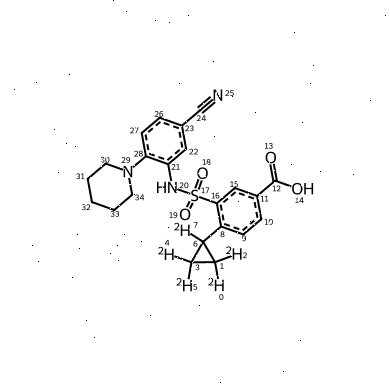 [2H]C1([2H])C([2H])([2H])C1([2H])c1ccc(C(=O)O)cc1S(=O)(=O)Nc1cc(C#N)ccc1N1CCCCC1